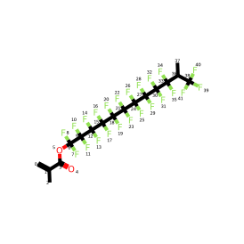 C=C(C)C(=O)OC(F)(F)C(F)(F)C(F)(F)C(F)(F)C(F)(F)C(F)(F)C(F)(F)C(F)(F)C(F)(F)C(F)(F)C(C)C(F)(F)F